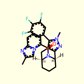 Cc1cn2c(C(=O)N3[C@H]4CCC[C@@H]3c3nn(C)c(-c5cc(F)c(F)c(F)c5)c3C4)cccc2n1